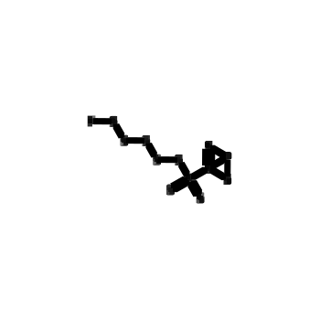 FSSSSSS(=S)(=S)S12#SP1S2